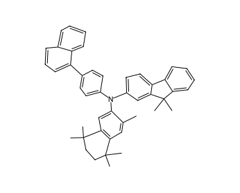 Cc1cc2c(cc1N(c1ccc(-c3cccc4ccccc34)cc1)c1ccc3c(c1)C(C)(C)c1ccccc1-3)C(C)(C)CCC2(C)C